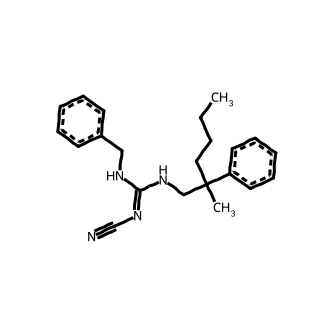 CCCCC(C)(CN/C(=N/C#N)NCc1ccccc1)c1ccccc1